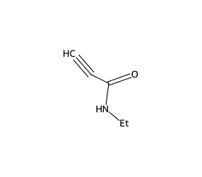 C#CC(=O)NCC